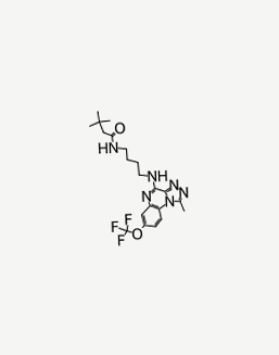 Cc1nnc2c(NCCCCNC(=O)CC(C)(C)C)nc3cc(OC(F)(F)F)ccc3n12